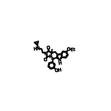 CCOc1ccc2[nH]c3c(c2c1)C[C@@]1(C)C(=O)N(CCNC2CC2)C(=O)N1[C@@H]3c1cccc(O)c1